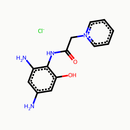 Nc1cc(N)c(NC(=O)C[n+]2ccccc2)c(O)c1.[Cl-]